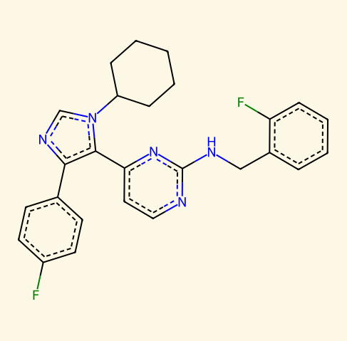 Fc1ccc(-c2ncn(C3CCCCC3)c2-c2ccnc(NCc3ccccc3F)n2)cc1